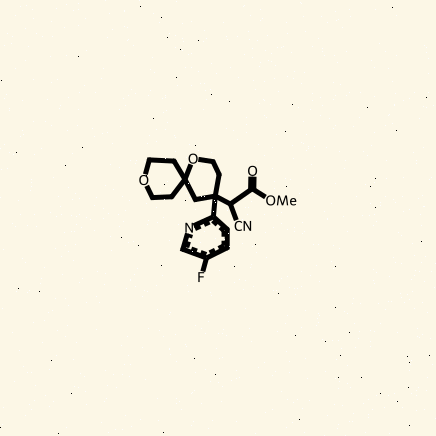 COC(=O)C(C#N)C1(c2ccc(F)cn2)CCOC2(CCOCC2)C1